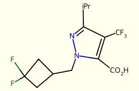 CC(C)c1nn(CC2CC(F)(F)C2)c(C(=O)O)c1C(F)(F)F